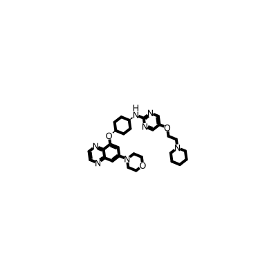 c1cnc2c(O[C@H]3CC[C@@H](Nc4ncc(OCCN5CCCCC5)cn4)CC3)cc(N3CCOCC3)cc2n1